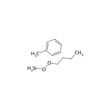 CCCCOO[SiH3].Cc1ccccc1